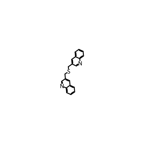 c1ccc2ncc(CSCc3cnc4ccccc4c3)cc2c1